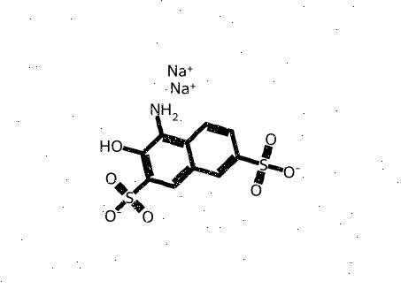 Nc1c(O)c(S(=O)(=O)[O-])cc2cc(S(=O)(=O)[O-])ccc12.[Na+].[Na+]